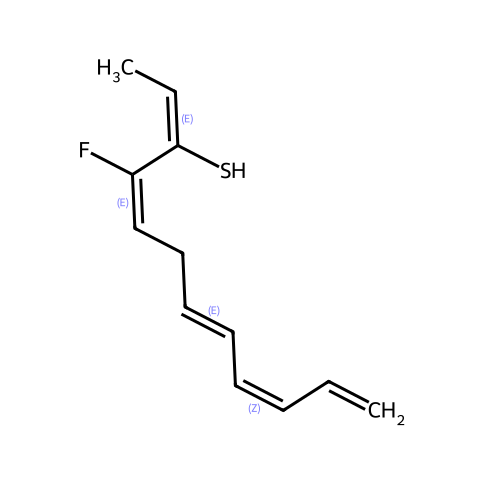 C=C/C=C\C=C\C/C=C(F)\C(S)=C/C